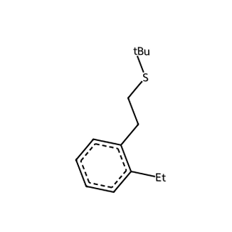 CCc1ccccc1CCSC(C)(C)C